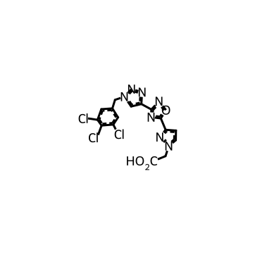 O=C(O)Cn1ccc(-c2nc(-c3cn(Cc4cc(Cl)c(Cl)c(Cl)c4)nn3)no2)n1